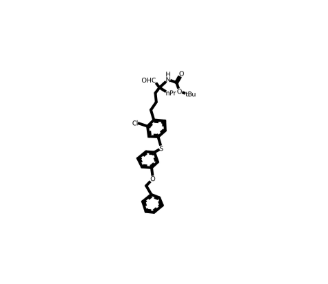 CCCC(C=O)(CCCc1ccc(Sc2cccc(OCc3ccccc3)c2)cc1Cl)NC(=O)OC(C)(C)C